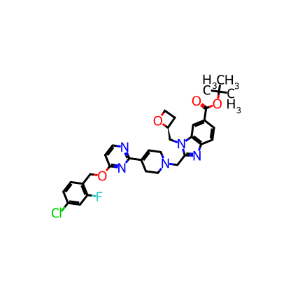 CC(C)(C)OC(=O)c1ccc2nc(CN3CC=C(c4nccc(OCc5ccc(Cl)cc5F)n4)CC3)n(C[C@@H]3CCO3)c2c1